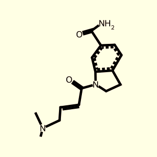 CN(C)CC=CC(=O)N1CCc2ccc(C(N)=O)cc21